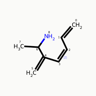 C=C/C=C\C(=C)C(C)N